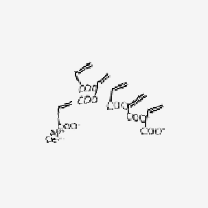 C=CC(=O)[O-].C=CC(=O)[O-].C=CC(=O)[O-].C=CC(=O)[O-].C=CC(=O)[O-].C=CC(=O)[O-].[Al+3].[Ce+3]